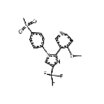 COc1ccncc1-c1nc(C(F)(F)F)cn1-c1ccc(S(C)(=O)=O)cc1